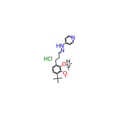 COc1c(C(C)(C)C)ccc(CCC=NNc2ccncc2)c1O[SiH](C)C.Cl